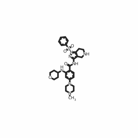 CN1CCN(c2ccc(C(=O)Nc3nn(S(=O)(=O)c4ccccc4)c4c3CNCC4)c(NC3CCOCC3)c2)CC1